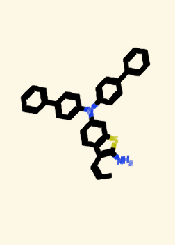 C/C=C\c1c(N)sc2cc(N(c3ccc(-c4ccccc4)cc3)c3ccc(-c4ccccc4)cc3)ccc12